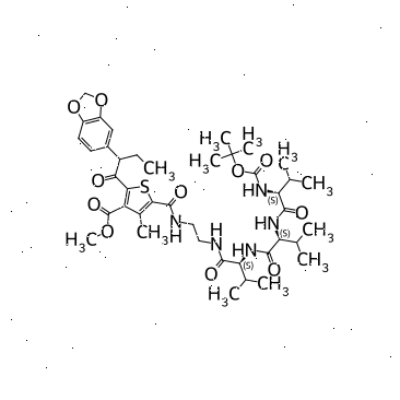 CCC(C(=O)c1sc(C(=O)NCCNC(=O)[C@@H](NC(=O)[C@@H](NC(=O)[C@@H](NC(=O)OC(C)(C)C)C(C)C)C(C)C)C(C)C)c(C)c1C(=O)OC)c1ccc2c(c1)OCO2